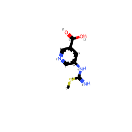 CSC(=N)Nc1cncc(C(=O)O)c1